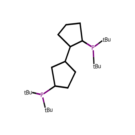 CC(C)(C)P(C1CCC(C2CCCC2P(C(C)(C)C)C(C)(C)C)C1)C(C)(C)C